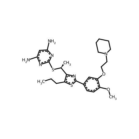 CCCc1sc(-c2ccc(OC)c(OCCN3CCCCC3)c2)nc1[C@H](C)Sc1nc(N)cc(N)n1